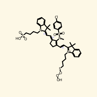 CN(C1=C(/C=C/C2=[N+](CCCCSOOO)c3ccccc3C2(C)C)CC/C1=C\C=C1\N(CCCCS(=O)(=O)O)c2ccccc2C1(C)C)S(=O)(=O)c1ccc(Cl)cc1